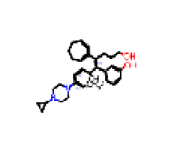 C=C(/C=C\C(=C/C)N1CCN(C2CC2)CC1)/C(=C(/CCCO)C1=CCCCC=C1)c1cccc(O)c1